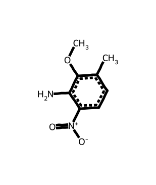 COc1c(C)ccc([N+](=O)[O-])c1N